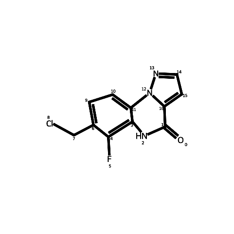 O=c1[nH]c2c(F)c(CCl)ccc2n2nccc12